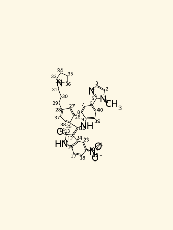 Cn1ccnc1-c1ccc(NC(=C2C(=O)Nc3ccc([N+](=O)[O-])cc32)c2ccc(CCCN3CCCC3)cc2)cc1